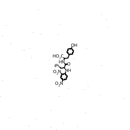 CC(C)CC(Nc1ccc([N+](=O)[O-])cc1[N+](=O)[O-])C(=O)NC(Cc1ccc(O)cc1)C(=O)O